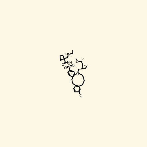 CCNCC1(C(=O)NS(=O)(=O)c2ccc3c(c2)N(C[C@@H]2CC[C@H]2[C@@H](C)OC)CCCCc2cc(Cl)ccc2CO3)CCC1